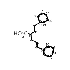 O=C(O)C(CC=Cc1ccccc1)CCc1ccccc1